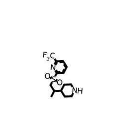 CC(CS(=O)(=O)c1cccc(C(F)(F)F)n1)C1CCNCC1